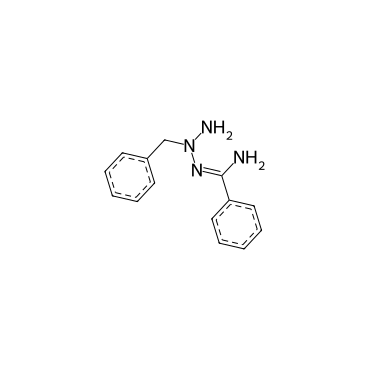 N/C(=N\N(N)Cc1ccccc1)c1ccccc1